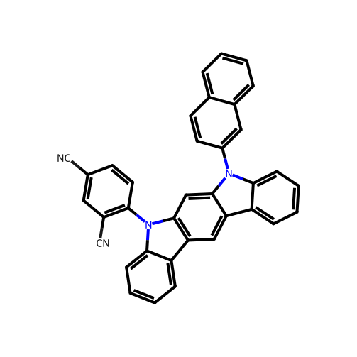 N#Cc1ccc(-n2c3ccccc3c3cc4c5ccccc5n(-c5ccc6ccccc6c5)c4cc32)c(C#N)c1